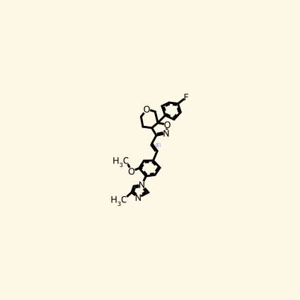 COc1cc(/C=C/C2=NOC3(c4ccc(F)cc4)COCCC23)ccc1-n1cnc(C)c1